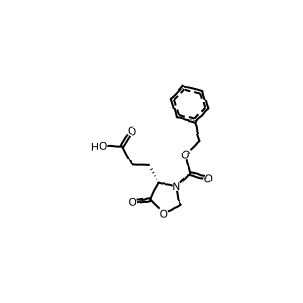 O=C(O)CC[C@H]1C(=O)OCN1C(=O)OCc1ccccc1